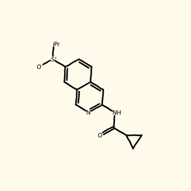 CC(C)[S+]([O-])c1ccc2cc(NC(=O)C3CC3)ncc2c1